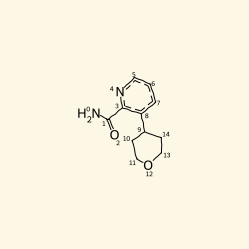 NC(=O)c1ncccc1C1CCOCC1